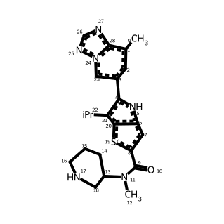 Cc1cc(-c2[nH]c3cc(C(=O)N(C)C4CCCNC4)sc3c2C(C)C)cn2ncnc12